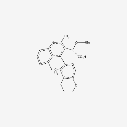 Cc1nc2cccc(F)c2c(-c2ccc3c(c2C)CCCO3)c1[C@H](OC(C)(C)C)C(=O)O